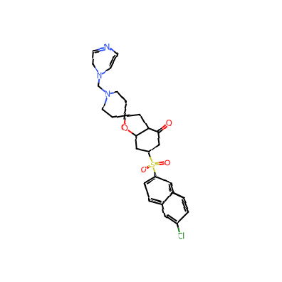 O=C1CC(S(=O)(=O)c2ccc3cc(Cl)ccc3c2)CC2OC3(CCN(CN4C=CN=CC4)CC3)CC12